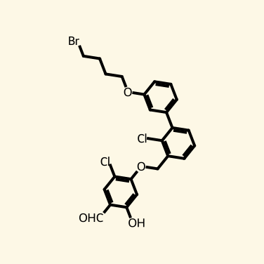 O=Cc1cc(Cl)c(OCc2cccc(-c3cccc(OCCCCBr)c3)c2Cl)cc1O